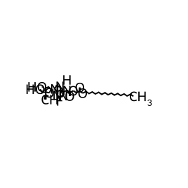 C#C[C@]1(CO)O[C@@H](n2cnc3c(NC(=O)OCC(=O)OCCCCCCCCCCCCCCCC)nc(F)nc32)C[C@@H]1O